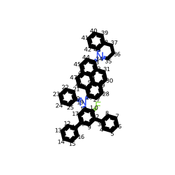 Fc1c(-c2ccccc2)cc(-c2ccccc2)cc1N(c1ccccc1)c1ccc2ccc3c(N4CCCc5ccccc54)ccc4ccc1c2c43